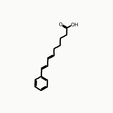 O=C(O)CCCCC=CC=Cc1ccccc1